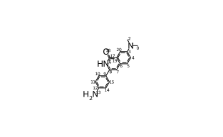 CN(C)c1ccc2cc(-c3ccc(N)cc3)[nH]c(=O)c2c1